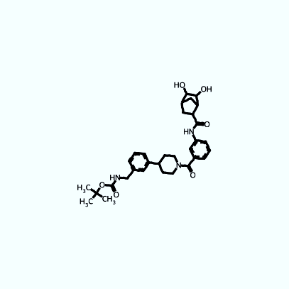 CC(C)(C)OC(=O)NCc1cccc(C2CCN(C(=O)c3cccc(NC(=O)C4CC5CC4C(O)C5O)c3)CC2)c1